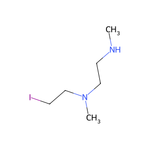 CNCCN(C)CCI